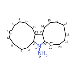 NN1C2CCCCCCCCCC2C2CCCCCCCCC21